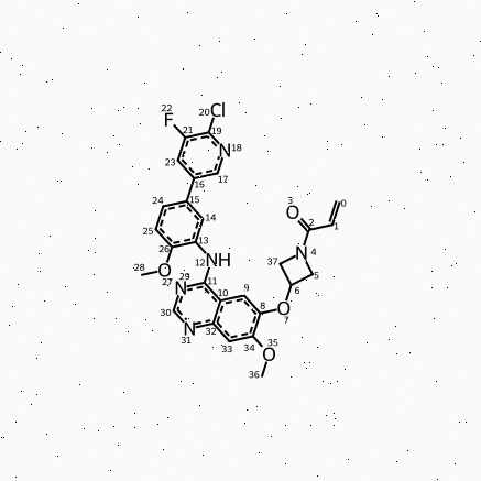 C=CC(=O)N1CC(Oc2cc3c(Nc4cc(-c5cnc(Cl)c(F)c5)ccc4OC)ncnc3cc2OC)C1